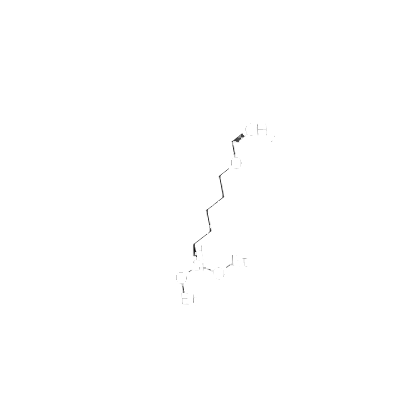 C=COCCCCC[SiH](OCC)OCC